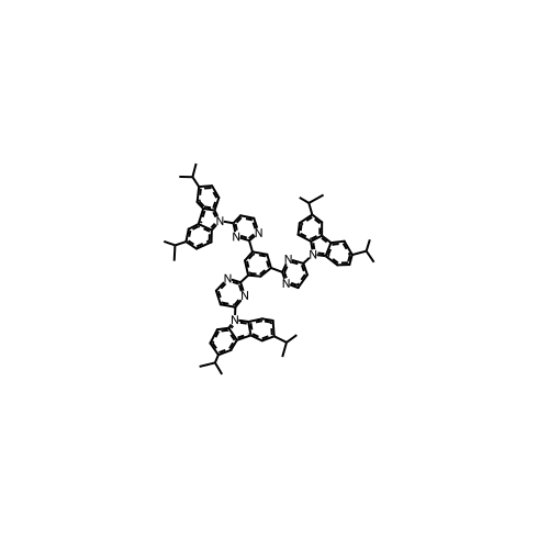 CC(C)c1ccc2c(c1)c1cc(C(C)C)ccc1n2-c1ccnc(-c2cc(-c3nccc(-n4c5ccc(C(C)C)cc5c5cc(C(C)C)ccc54)n3)cc(-c3nccc(-n4c5ccc(C(C)C)cc5c5cc(C(C)C)ccc54)n3)c2)n1